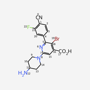 N#Cc1ccc(-c2nc(N3CCC(N)CC3)cc(C(=O)O)c2Br)cc1F